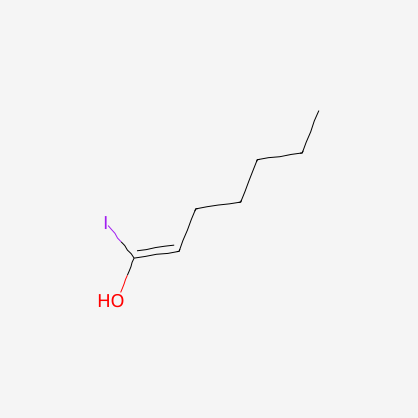 CCCCCC=C(O)I